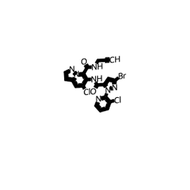 C#CCNC(=O)c1c(NC(=O)c2cc(Br)nn2-c2ncccc2Cl)c(Cl)cc2ccnn12